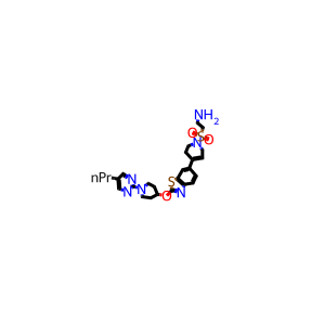 CCCc1cnc(N2CCC(Oc3nc4ccc(C5=CCN(S(=O)(=O)CCN)CC5)cc4s3)CC2)nc1